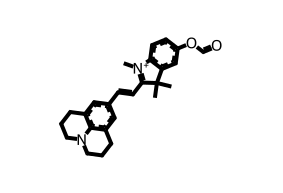 C[N+]1=C(/C=C/c2cc3c4c(c2)CCCN4CCC3)C(C)(C)c2cc(OC=O)ccc21